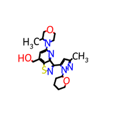 Cc1cc(-c2nsc3c(CO)cc(N4CCOCC4C)nc23)n(C2CCCCO2)n1